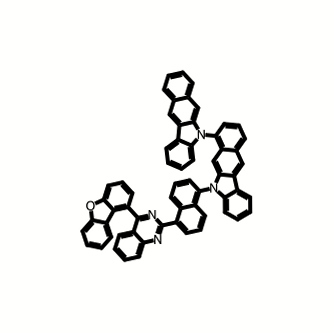 c1ccc2cc3c(cc2c1)c1ccccc1n3-c1cccc2cc3c4ccccc4n(-c4cccc5c(-c6nc(-c7cccc8oc9ccccc9c78)c7ccccc7n6)cccc45)c3cc12